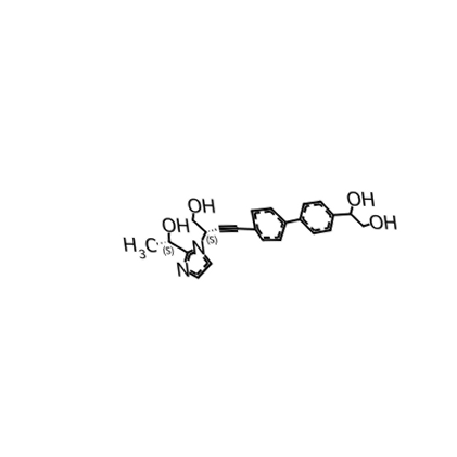 C[C@H](O)c1nccn1[C@@H](C#Cc1ccc(-c2ccc(C(O)CO)cc2)cc1)CO